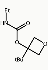 CCNC(=O)OC1(C(C)(C)C)COC1